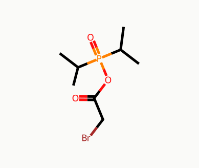 CC(C)P(=O)(OC(=O)CBr)C(C)C